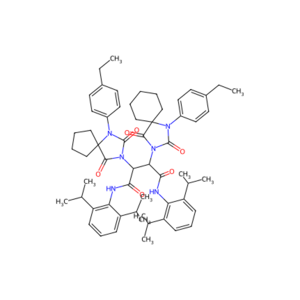 CCc1ccc(N2C(=O)N(C(C(=O)Nc3c(C(C)C)cccc3C(C)C)C(C(=O)Nc3c(C(C)C)cccc3C(C)C)N3C(=O)N(c4ccc(CC)cc4)C4(CCCC4)C3=O)C(=O)C23CCCCC3)cc1